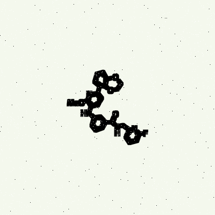 COc1nc(-c2cccc3c2OCCO3)ccc1Nc1cccc(C(=O)NCc2cccc(F)n2)c1